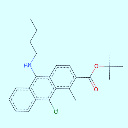 CCCCNc1c2ccccc2c(Cl)c2c(C)c(C(=O)OC(C)(C)C)ccc12